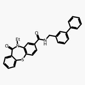 CCN1C(=O)c2ccccc2Sc2ccc(C(=O)NCc3cccc(-c4ccccc4)c3)cc21